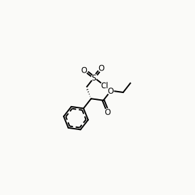 CCOC(=O)[C@@H](CS(=O)(=O)Cl)c1ccccc1